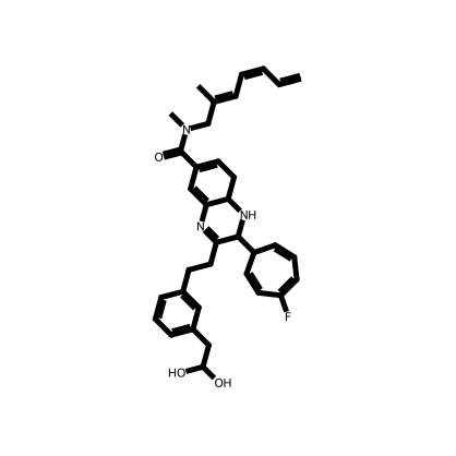 C=C/C=C\C=C(/C)CN(C)C(=O)C1=CCC2NC(C3C=CC=C(F)C=C3)C(CCc3cccc(CC(O)O)c3)=NC2=C1